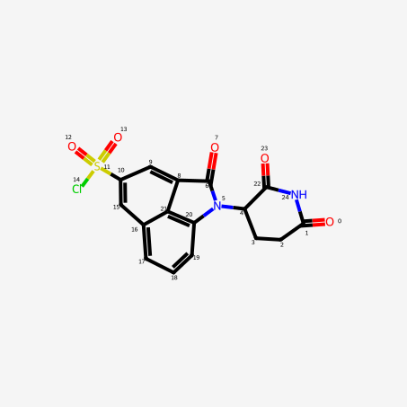 O=C1CCC(N2C(=O)c3cc(S(=O)(=O)Cl)cc4cccc2c34)C(=O)N1